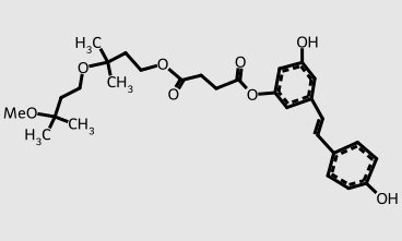 COC(C)(C)CCOC(C)(C)CCOC(=O)CCC(=O)Oc1cc(O)cc(/C=C/c2ccc(O)cc2)c1